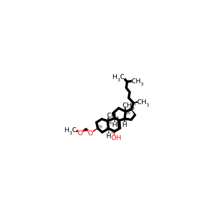 COCO[C@H]1CC[C@@]2(C)[C@H](C1)[C@@H](O)C=C1[C@@H]2CC[C@]2(C)[C@@H]([C@H](C)CCCC(C)C)CC[C@@H]12